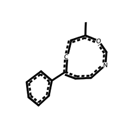 Cc1ccc(-c2ccccc2)ccnco1